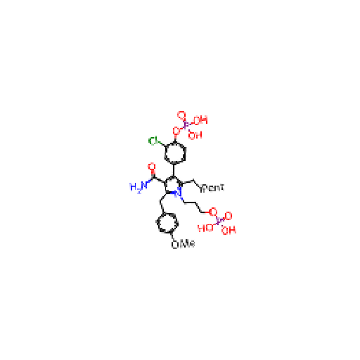 CCCC(C)Cc1c(-c2ccc(OP(=O)(O)O)c(Cl)c2)c(C(N)=O)c(Cc2ccc(OC)cc2)n1CCCOP(=O)(O)O